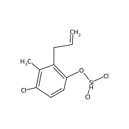 C=CCc1c(O[SiH](Cl)Cl)ccc(Cl)c1C